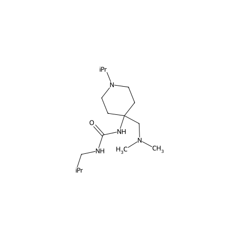 CC(C)CNC(=O)NC1(CN(C)C)CCN(C(C)C)CC1